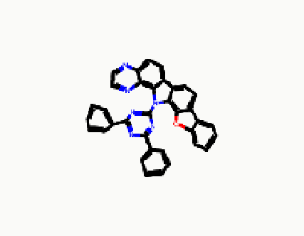 c1ccc(-c2nc(-c3ccccc3)nc(-n3c4c(ccc5nccnc54)c4ccc5c6ccccc6oc5c43)n2)cc1